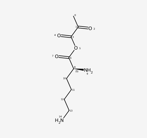 CC(=O)C(=O)OC(=O)[C@@H](N)CCCCN